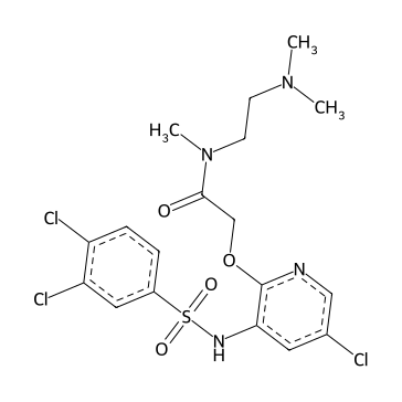 CN(C)CCN(C)C(=O)COc1ncc(Cl)cc1NS(=O)(=O)c1ccc(Cl)c(Cl)c1